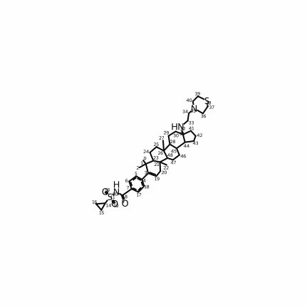 CC1(C)C(c2ccc(C(=O)NS(=O)(=O)C3CC3)cc2)=CCC2(C)C1CCC1(C)C3CCC4(NCCN5CCSCC5)CCCC4C3CCC12